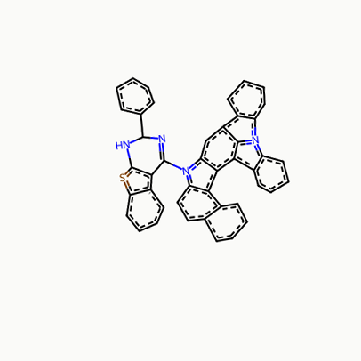 c1ccc(C2N=C(n3c4ccc5ccccc5c4c4c5c6ccccc6n6c7ccccc7c(cc43)c56)c3c(sc4ccccc34)N2)cc1